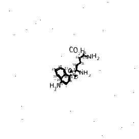 Nc1ccc(S(=O)(=O)C(N)CCCC(N)C(=O)O)c2ccccc12